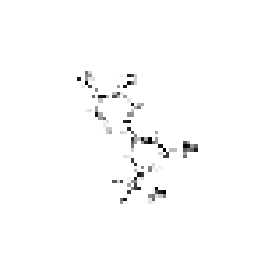 CC(C)(C)[S@@+]([O-])N=C(CO[Si](C)(C)C(C)(C)C)c1ccc(C#N)c(Cl)c1